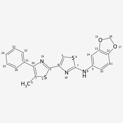 Cc1sc(-c2csc(Nc3ccc4c(c3)OCO4)n2)nc1-c1ccccc1